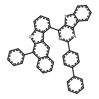 c1ccc(-c2ccc(-c3nc(-c4cccc5oc6c(-c7ccccc7)c7ccccc7cc6c45)c4sc5ccccc5c4n3)cc2)cc1